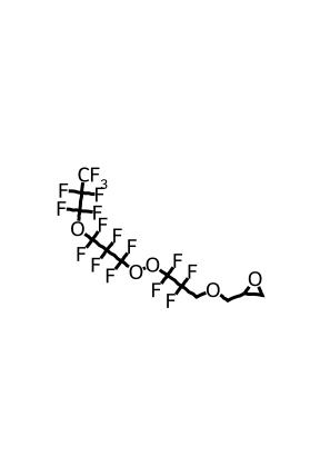 FC(F)(F)C(F)(F)C(F)(F)OC(F)(F)C(F)(F)C(F)(F)OOC(F)(F)C(F)(F)COCC1CO1